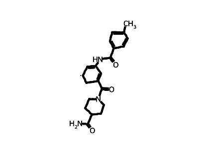 Cc1ccc(C(=O)NC2=C[CH]CC(C(=O)N3CCC(C(N)=O)CC3)=C2)cc1